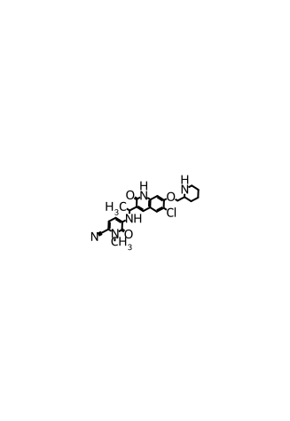 CC(Nc1ccc(C#N)n(C)c1=O)c1cc2cc(Cl)c(OCC3CCCCN3)cc2[nH]c1=O